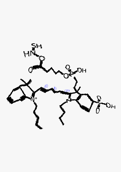 CCCCC[N+]1=C(/C=C/C=C/C=C2\N(CCCC)c3ccc(S(=O)(=O)O)cc3C2(C)CCP(=O)(O)OCCCCC(=O)ONS)C(C)(C)c2ccccc21